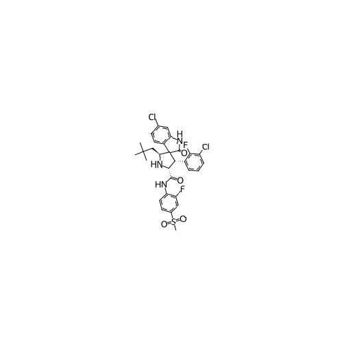 CC(C)(C)C[C@@H]1N[C@@H](C(=O)Nc2ccc(S(C)(=O)=O)cc2F)[C@@H](c2cccc(Cl)c2F)C12C(=O)Nc1cc(Cl)ccc12